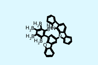 Bc1c(B)c(B)c(-c2cc(-n3c4ccccc4c4ccc5c6ccccc6[nH]c5c43)cc3c2oc2ccccc23)c(B)c1B